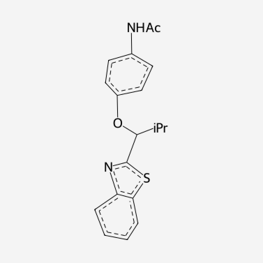 CC(=O)Nc1ccc(OC(c2nc3ccccc3s2)C(C)C)cc1